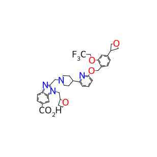 O=C(O)c1ccc2nc(CN3CCC(c4cccc(OCc5ccc(C6COC6)cc5OCC(F)(F)F)n4)CC3)n(CC3CCO3)c2c1